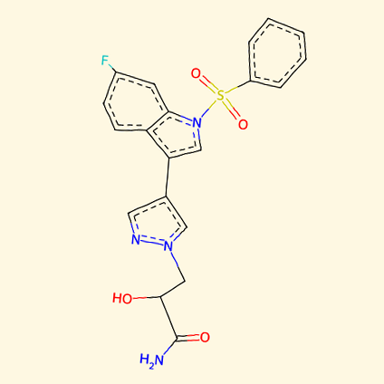 NC(=O)C(O)Cn1cc(-c2cn(S(=O)(=O)c3ccccc3)c3cc(F)ccc23)cn1